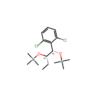 CC[C@H](O[Si](C)(C)C)[C@@H](O[Si](C)(C)C)c1c(Cl)cccc1Cl